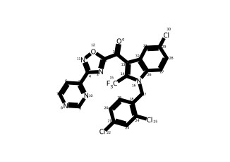 O=C(c1nc(-c2ccncn2)no1)c1c(C(F)(F)F)n(Cc2ccc(Cl)cc2Cl)c2ccc(Cl)cc12